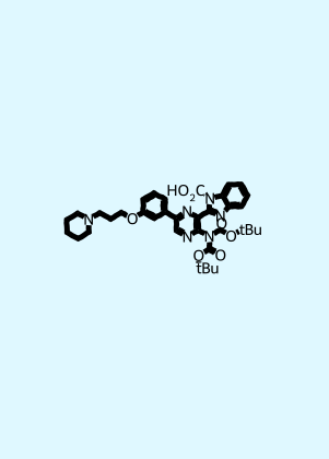 CC(C)(C)OC(=O)N(C(=O)OC(C)(C)C)c1ncc(-c2cccc(OCCCN3CCCCC3)c2)nc1-c1nc2ccccc2n1C(=O)O